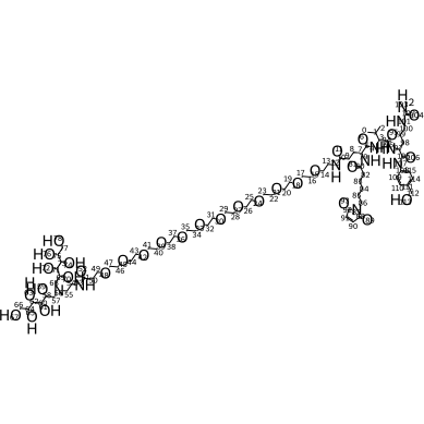 CC(C)[C@H](NC(=O)[C@H](CCC(=O)NCCOCCOCCOCCOCCOCCOCCOCCOCCOCCOCCOCCOCCC(=O)NCCN(C[C@H](O)[C@@H](O)[C@H](O)[C@H](O)CO)C[C@H](O)[C@@H](O)[C@H](O)[C@H](O)CO)NC(=O)CCCCCN1C(=O)C=CC1=O)C(=O)N[C@@H](CCCNC(N)=O)C(=O)Nc1ccc(CO)cc1